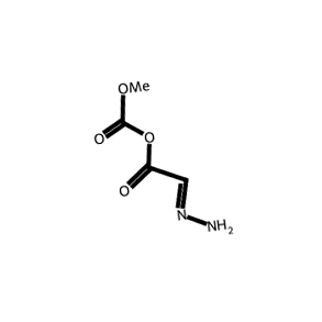 COC(=O)OC(=O)C=NN